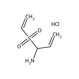 C=CC(N)S(=O)(=O)C=C.Cl